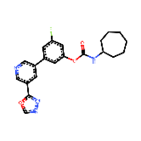 O=C(NC1CCCCCC1)Oc1cc(F)cc(-c2cncc(-c3nnco3)c2)c1